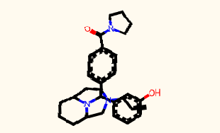 C=CCN1CCC2CCCC(C1)N2C(c1ccc(C(=O)N2CCCC2)cc1)c1cccc(O)c1